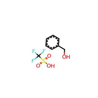 O=S(=O)(O)C(F)(F)F.OCc1ccccc1